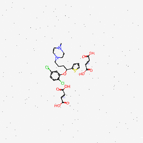 CN1CCN(CCCC(Oc2cc(Cl)ccc2Cl)c2cccs2)CC1.O=C(O)/C=C/C(=O)O.O=C(O)/C=C/C(=O)O